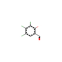 O=Cc1cc(Cl)c(Cl)c(Cl)c1O